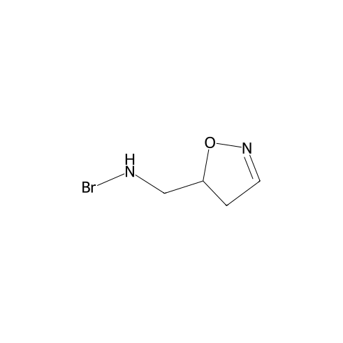 BrNCC1CC=NO1